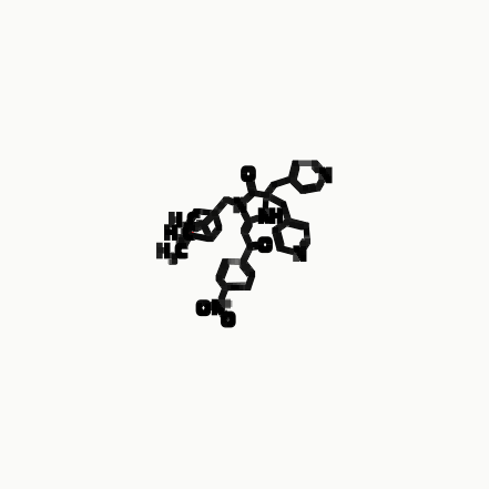 CC1CCC2(CN3C(=O)C(Cc4ccncc4)(Cc4ccncc4)NC3=CC(=O)c3ccc([N+](=O)[O-])cc3)CC1C2(C)C